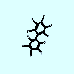 Fc1c(F)c(F)c(-c2c(F)c(F)c(F)c(F)c2S)c(F)c1F